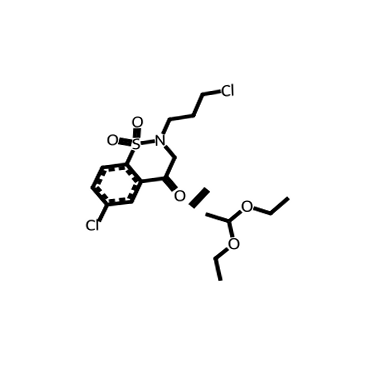 C=C.CCOC(C)OCC.O=C1CN(CCCCl)S(=O)(=O)c2ccc(Cl)cc21